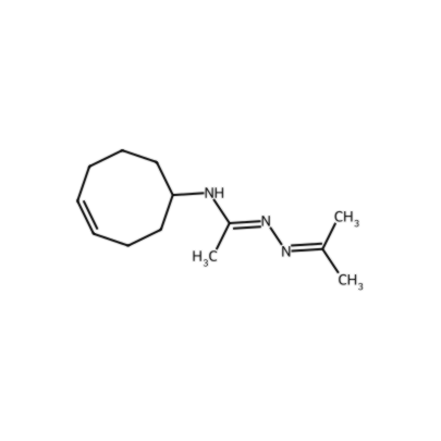 CC(C)=N/N=C(\C)NC1CC/C=C\CCC1